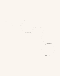 CCC(=O)Oc1cccc(N2CCOCC2)c1